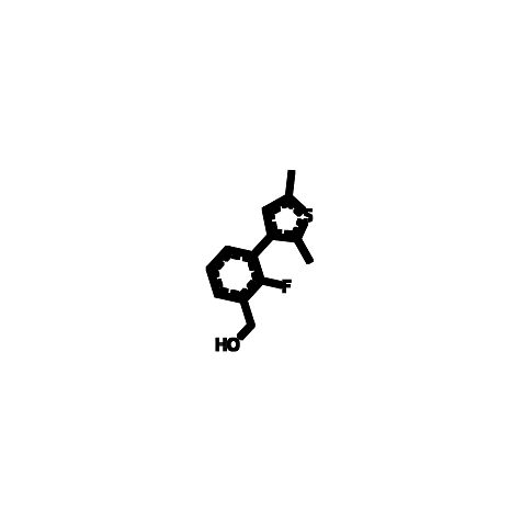 Cc1cc(-c2cccc(CO)c2F)c(C)s1